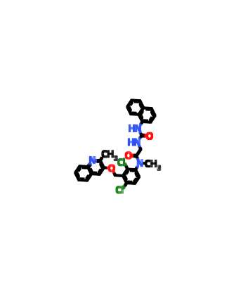 Cc1nc2ccccc2cc1OCc1c(Cl)ccc(N(C)C(=O)CNC(=O)Nc2cccc3ccccc23)c1Cl